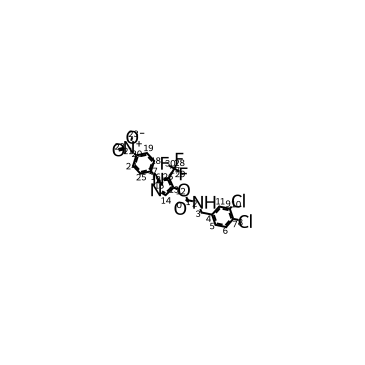 O=C(NCc1ccc(Cl)c(Cl)c1)Oc1cnn(-c2ccc([N+](=O)[O-])cc2)c1C(F)(F)F